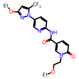 CCOCCn1cc(C(=O)Nc2ccc(-n3nc(OCC)cc3C(F)(F)F)cn2)ccc1=O